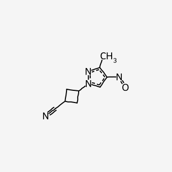 Cc1nn(C2CC(C#N)C2)cc1N=O